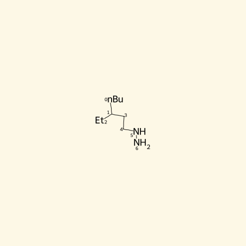 CCCCC(CC)CCNN